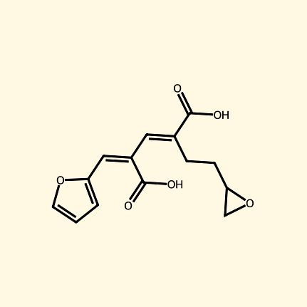 O=C(O)C(=Cc1ccco1)C=C(CCC1CO1)C(=O)O